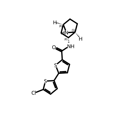 O=C(N[C@@H]1C[C@H]2CC[C@@H]1N2)c1ccc(-c2ccc(Cl)s2)s1